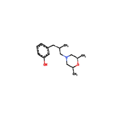 CC(Cc1cccc(O)c1)CN1CC(C)OC(C)C1